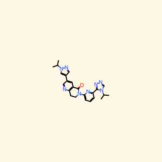 CC(C)n1cc(-c2cnc3c(c2)C(=O)N(c2cccc(-c4nncn4C(C)C)n2)CC3)cn1